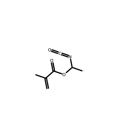 [CH2]C(N=C=O)OC(=O)C(=C)C